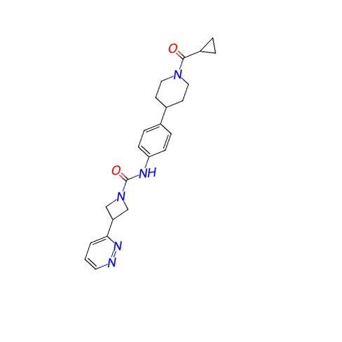 O=C(Nc1ccc(C2CCN(C(=O)C3CC3)CC2)cc1)N1CC(c2cccnn2)C1